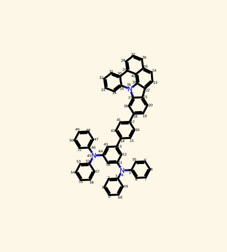 c1ccc(N(c2ccccc2)c2cc(-c3ccc(-c4ccc5c6ccc7cccc8c9ccccc9n(c5c4)c6c78)cc3)cc(N(c3ccccc3)c3ccccc3)c2)cc1